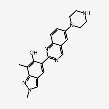 Cc1c(O)c(-c2ncc3cc(N4CCNCC4)ccc3n2)cc2cn(C)nc12